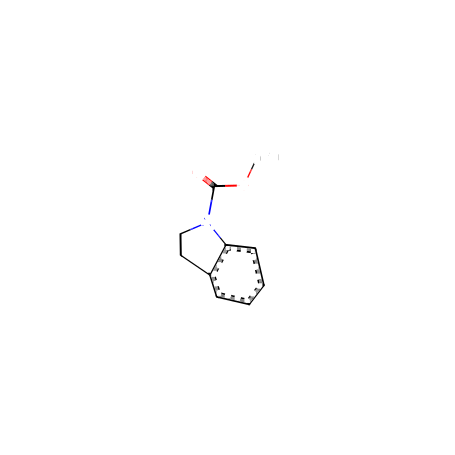 CCCCOC(=O)N1C[CH]c2ccccc21